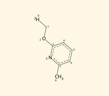 [2H]COc1cccc(C)n1